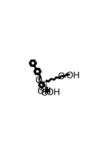 O=C(O)C[C@@H]1[C@@H](C=CCCCCOCCO)[C@H](OCc2ccc(-c3ccccc3)cc2)C[C@@H]1O